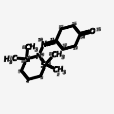 C[Si]1(C)CCC[Si](C)(C)N1N=C1CCC(=O)CC1